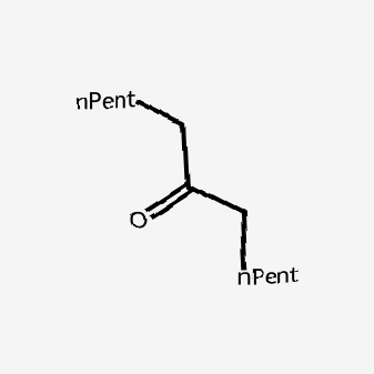 CCCCCCC(=O)CCCCCC